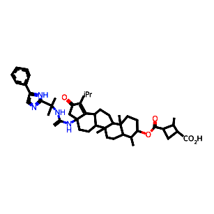 C=C(NC12CCC3C(CCC4C3(C)CCC3C(C)C(OC(=O)C5CC(C(=O)O)C5C)CCC34C)C1=C(C(C)C)C(=O)C2)NC(C)(C)c1ncc(-c2ccccc2)[nH]1